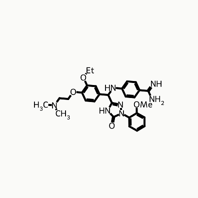 CCOc1cc(C(Nc2ccc(C(=N)N)cc2)c2nn(-c3ccccc3OC)c(=O)[nH]2)ccc1OCCN(C)C